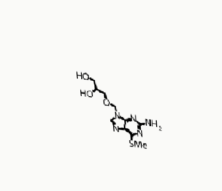 CSc1nc(N)nc2c1ncn2COCC(O)CO